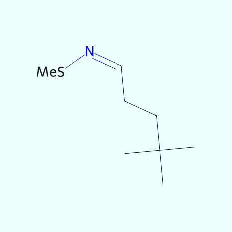 CS/N=C\CCC(C)(C)C